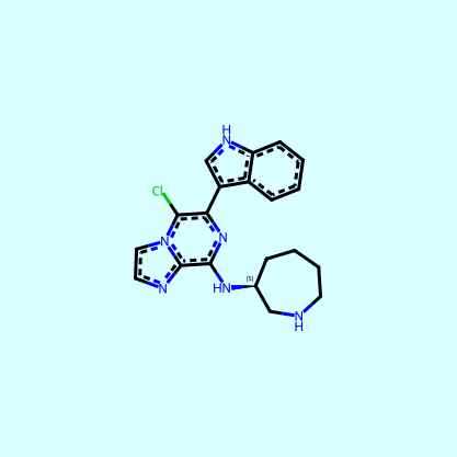 Clc1c(-c2c[nH]c3ccccc23)nc(N[C@H]2CCCCNC2)c2nccn12